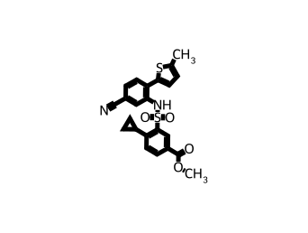 COC(=O)c1ccc(C2CC2)c(S(=O)(=O)Nc2cc(C#N)ccc2-c2ccc(C)s2)c1